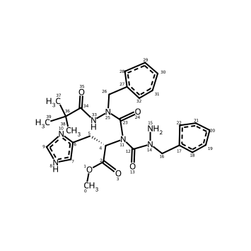 COC(=O)[C@H](Cc1c[nH]cn1)N(C(=O)N(N)Cc1ccccc1)C(=O)N(Cc1ccccc1)NC(=O)C(C)(C)C